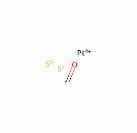 [C]=O.[Pt+4].[S-2].[S-2]